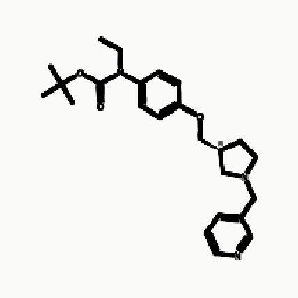 CCN(C(=O)OC(C)(C)C)c1ccc(OC[C@@H]2CCN(Cc3cccnc3)C2)cc1